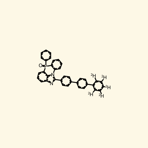 [2H]c1c([2H])c([2H])c(-c2ccc(-c3ccc(-c4nc5cccc6c5n4-c4ccccc4P6(=O)c4ccccc4)cc3)cc2)c([2H])c1[2H]